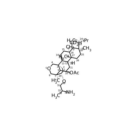 CC(=O)O[C@@H]1C[C@@]23COC[C@@](C)(C2CC[C@H]2C3=CC[C@@]3(C)[C@H](C(=O)O)[C@@](C)([C@H](C)C(C)C)CC[C@]23C)[C@H]1OCC(C)N